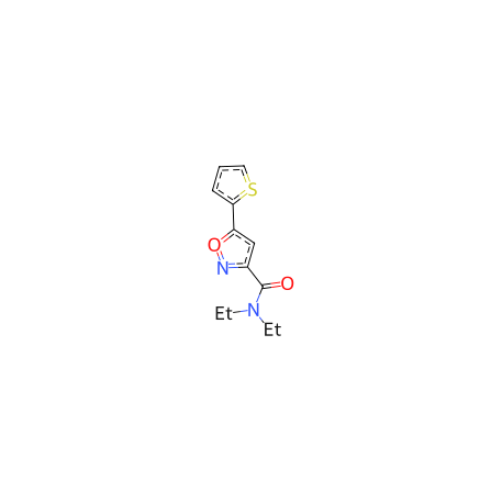 CCN(CC)C(=O)c1cc(-c2cccs2)on1